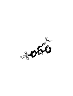 CS(=O)(=O)c1ccc(C2(/C=C\CCO[N+](=O)[O-])C=C(c3cccnc3)N=N2)cc1